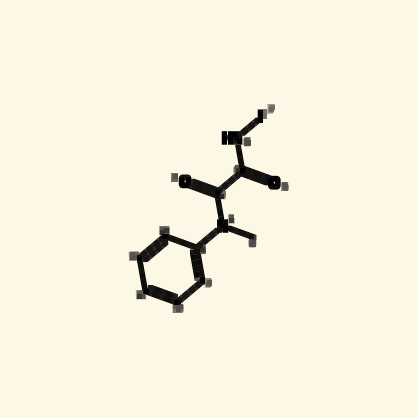 CN(C(=O)C(=O)NF)c1ccccc1